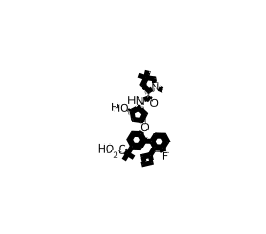 CN1CC(C)(C)C[C@H]1C(=O)N[C@H]1C[C@H](Oc2ccc(C(C)(C)C(=O)O)cc2-c2cccc(F)c2C2CCC2)C[C@H]1O